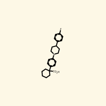 O=C(O)C1(c2ccc(N3CCC(c4ccc(F)cc4)CC3)cc2)CCCCC1